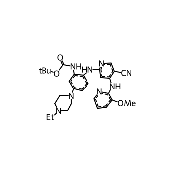 CCN1CCN(c2ccc(Nc3cc(Nc4ncccc4OC)c(C#N)cn3)c(NC(=O)OC(C)(C)C)c2)CC1